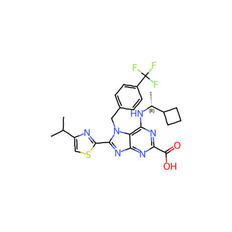 CC(C)c1csc(-c2nc3nc(C(=O)O)nc(N[C@H](C)C4CCC4)c3n2Cc2ccc(C(F)(F)F)cc2)n1